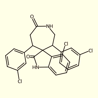 O=C1CC(c2cccc(Cl)c2)C2(C(=O)Nc3cccc(Cl)c32)C(c2cccc(Cl)c2)CN1